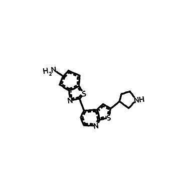 Nc1ccc2sc(-c3ccnc4sc(C5CCNC5)cc34)nc2c1